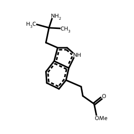 COC(=O)CCc1cccc2c(CC(C)(C)N)c[nH]c12